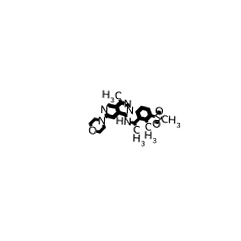 Cc1c(C(C)Nc2nnc(C)c3cnc(N4CCOCC4)cc23)cccc1S(C)(=O)=O